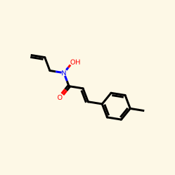 C=CCN(O)C(=O)/C=C/c1ccc(C)cc1